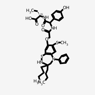 CCCCC1(CCCC)CN(c2ccccc2)c2cc(SC)c(OCC(=O)NC(C(=O)N[C@@H](CC)C(=O)O)c3ccc(O)cc3)cc2SN1